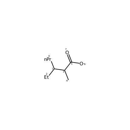 CCCC(CC)C(C)C([O])=O